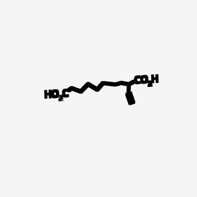 C#CC(CCCCCCCC(=O)O)C(=O)O